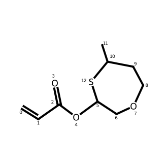 C=CC(=O)OC1COCCC(C)S1